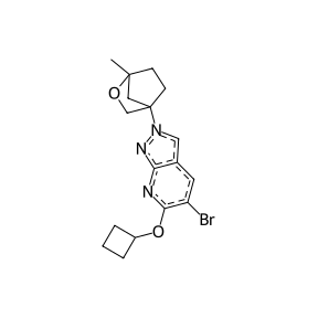 CC12CCC(n3cc4cc(Br)c(OC5CCC5)nc4n3)(CO1)C2